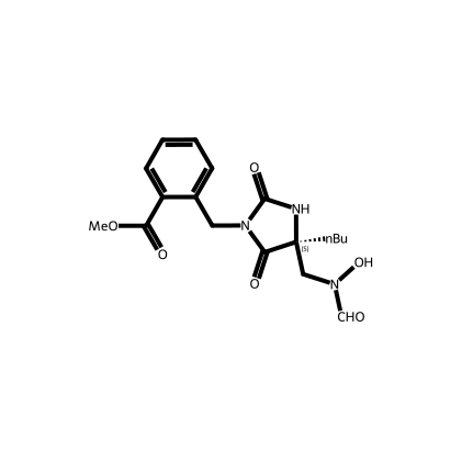 CCCC[C@@]1(CN(O)C=O)NC(=O)N(Cc2ccccc2C(=O)OC)C1=O